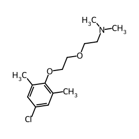 Cc1cc(Cl)cc(C)c1OCCOCCN(C)C